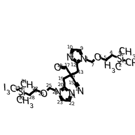 C[Si](C)(C)CCOCn1ccnc1CC(C#N)(C=O)Cc1nccn1COCC[Si](C)(C)C